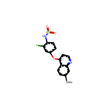 COc1ccc2c(Oc3ccc(N[SH](=O)=O)c(F)c3)ccnc2c1